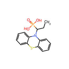 CCC(N1c2ccccc2Sc2ccccc21)P(=O)(O)O